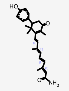 CC1=C(/C=C/C(C)=C/C=C/C(C)=C/C(N)=O)C(C)(C)C(c2ccc(O)cc2)CC1=O